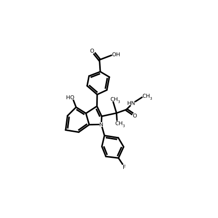 CNC(=O)C(C)(C)c1c(-c2ccc(C(=O)O)cc2)c2c(O)cccc2n1-c1ccc(F)cc1